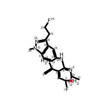 C=C(N)C(=C/C(C)F)/C(=N\C(C)N)Nc1ccc2c(c1)c(CCF)nn2C